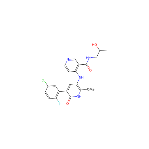 COc1[nH]c(=O)c(-c2cc(Cl)ccc2F)cc1Nc1ccncc1C(=O)NCC(C)O